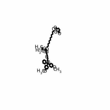 COc1ccc(C(OCCOCCOP(=O)(OCCCCCCCCCCCC(=O)ON2C(=O)CCC2=O)OC(C)C)(c2ccccc2)c2ccc(OC)cc2)cc1